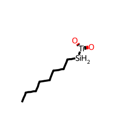 CCCCCCCC[SiH2][Ti](=[O])=[O]